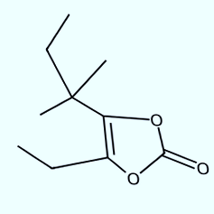 CCc1oc(=O)oc1C(C)(C)CC